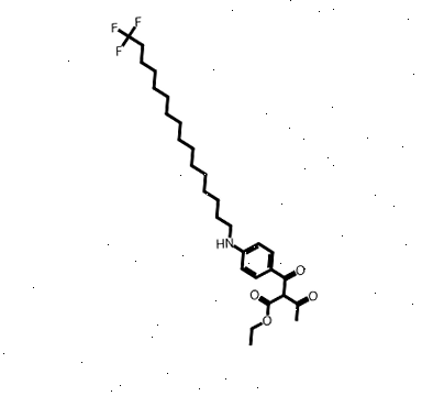 CCOC(=O)C(C(C)=O)C(=O)c1ccc(NCCCCCCCCCCCCCCCC(F)(F)F)cc1